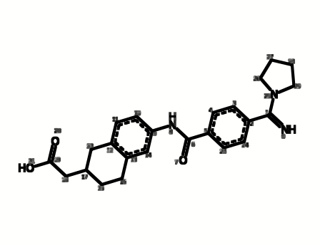 N=C(c1ccc(C(=O)Nc2ccc3c(c2)CCC(CC(=O)O)C3)cc1)N1CCCC1